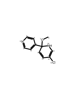 COC1(c2ccncc2)C=CC(Cl)=CN1